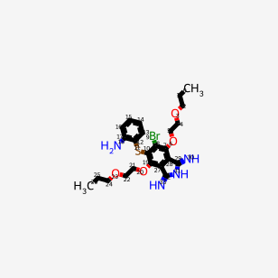 CCCOCCOc1c(Br)c(Sc2ccccc2N)c(OCCOCCC)c2c1C(=N)NC2=N